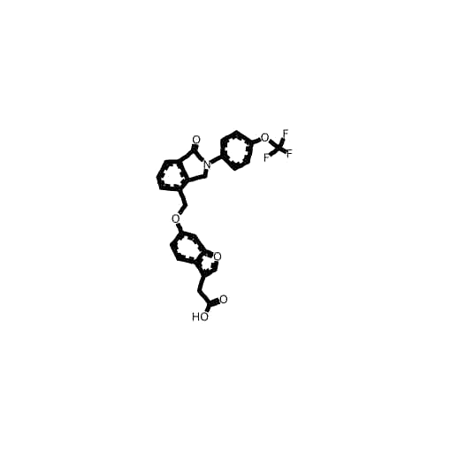 O=C(O)Cc1coc2cc(OCc3cccc4c3CN(c3ccc(OC(F)(F)F)cc3)C4=O)ccc12